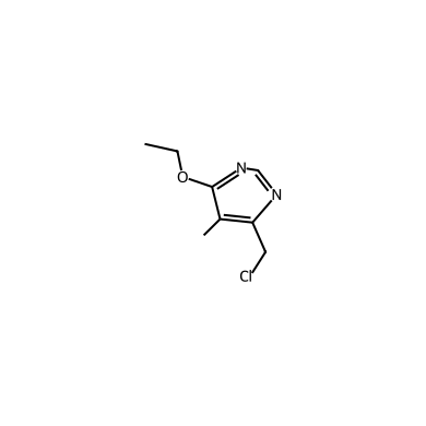 CCOc1ncnc(CCl)c1C